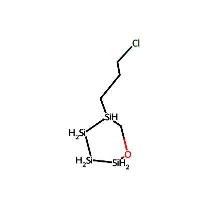 ClCCC[SiH]1CO[SiH2][SiH2][SiH2]1